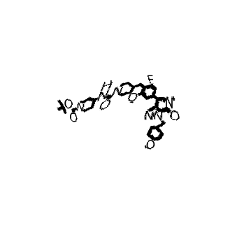 COc1ccc(Cn2ncc3c(-c4cc(F)c(CC5CCN(C(=O)NC6CCN(C(=O)OC(C)(C)C)CC6)CC5)c(OC)c4)cn(C)c(=O)c32)cc1